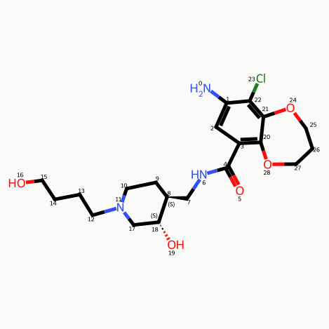 Nc1cc(C(=O)NC[C@@H]2CCN(CCCCO)C[C@H]2O)c2c(c1Cl)OCCCO2